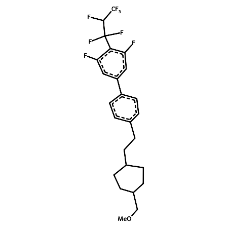 COCC1CCC(CCc2ccc(-c3cc(F)c(C(F)(F)C(F)C(F)(F)F)c(F)c3)cc2)CC1